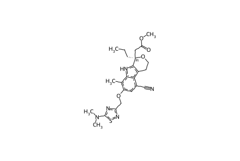 CCC[C@]1(CC(=O)OC)OCCc2c1[nH]c1c(C)c(OCc3nsc(N(C)C)n3)cc(C#N)c21